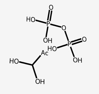 CC(=O)C(O)O.O=P(O)(O)OP(=O)(O)O